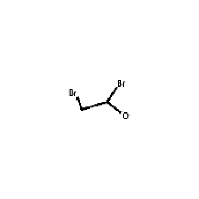 [O]C(Br)CBr